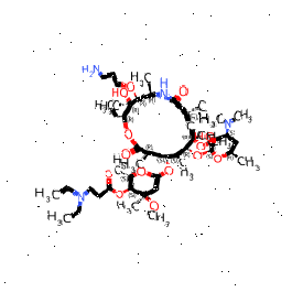 CC[C@H]1OC(=O)[C@H](C)[C@@H](OC2C[C@@](C)(OC)[C@@H](OC(=O)CCN(CC)CC)[C@H](C)O2)[C@H](C)[C@@H](O[C@@H]2O[C@H](C)C[C@H](N(C)C)[C@H]2O)[C@](C)(OC)C[C@@H](C)C(=O)N[C@H](C)[C@@H](OCCCN)[C@]1(C)O